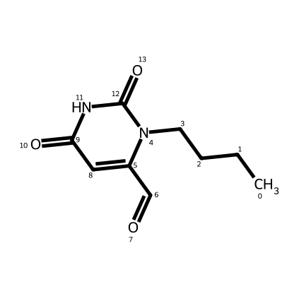 CCCCn1c(C=O)cc(=O)[nH]c1=O